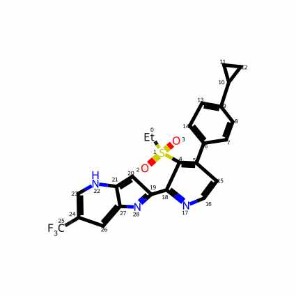 CCS(=O)(=O)c1c(-c2ccc(C3CC3)cc2)ccnc1-c1cc2[nH]cc(C(F)(F)F)cc-2n1